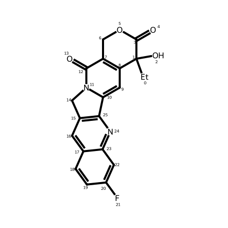 CCC1(O)C(=O)OCc2c1cc1n(c2=O)Cc2cc3ccc(F)cc3nc2-1